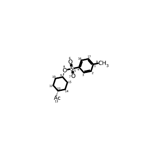 Cc1ccc(S(=O)(=O)O[C@H]2CC[C@@H](C(C)=O)CC2)cc1